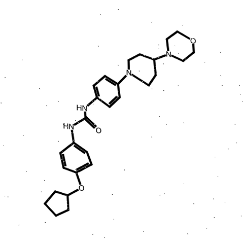 O=C(Nc1ccc(OC2CCCC2)cc1)Nc1ccc(N2CCC(N3CCOCC3)CC2)cc1